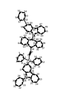 C(#C[Si](c1ccccc1)(c1ccccc1)c1ccc2c(c1)c1ccccc1n2-c1ccccc1)c1c2ccccc2c(-n2c3ccccc3c3cc(-c4ccccc4)ccc32)c2ccccc12